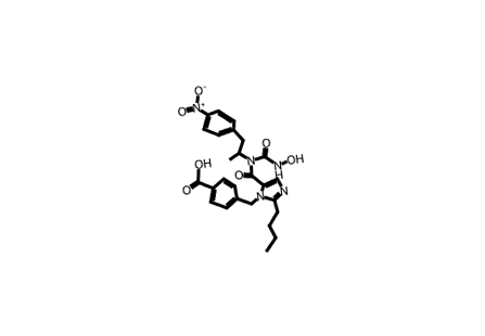 CCCCc1ncc(C(=O)N(C(=O)NO)C(C)Cc2ccc([N+](=O)[O-])cc2)n1Cc1ccc(C(=O)O)cc1